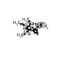 CCCCOc1c(C(=O)OCC)n(C[C@@H]2[C@@H]3CC([C@@H](F)C3)N2C(=O)OC(C)(C)C)cc(C(=O)OCC)c1=O